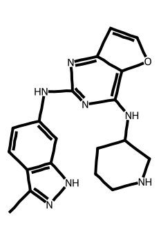 Cc1n[nH]c2cc(Nc3nc(NC4CCCNC4)c4occc4n3)ccc12